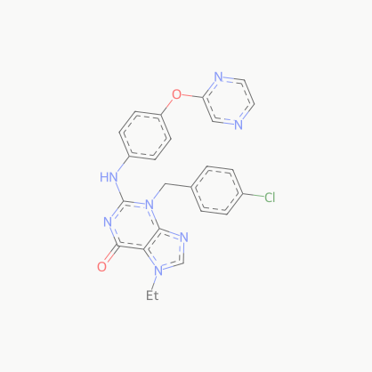 CCn1cnc2c1c(=O)nc(Nc1ccc(Oc3cnccn3)cc1)n2Cc1ccc(Cl)cc1